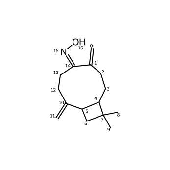 C=C1CCC2C(CC2(C)C)C(=C)CC/C1=N/O